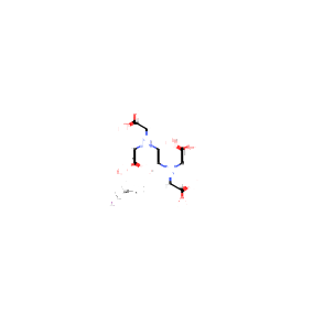 O=C([O-])CN(CCN(CC(=O)[O-])CC(=O)[O-])CC(=O)[O-].[Co+2].[Co+2].[I]